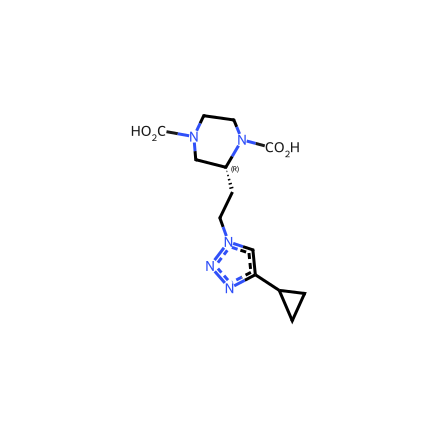 O=C(O)N1CCN(C(=O)O)[C@H](CCn2cc(C3CC3)nn2)C1